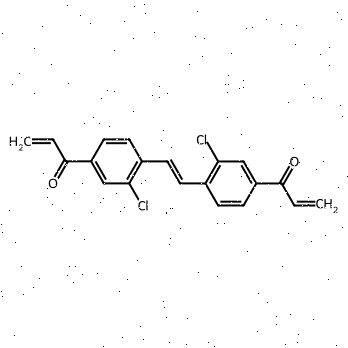 C=CC(=O)c1ccc(/C=C/c2ccc(C(=O)C=C)cc2Cl)c(Cl)c1